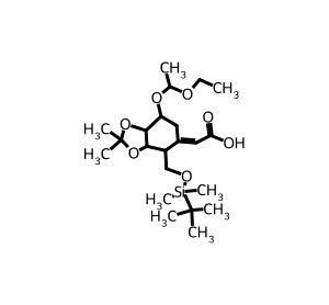 CCOC(C)OC1CC(=CC(=O)O)C(CO[Si](C)(C)C(C)(C)C)C2OC(C)(C)OC12